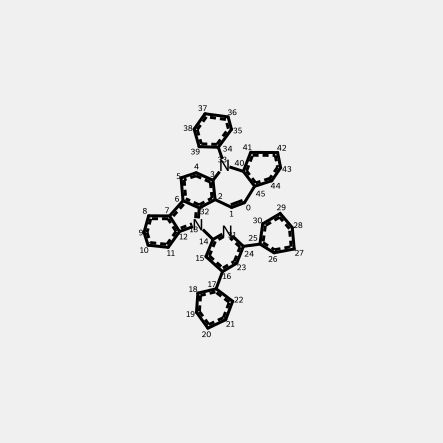 C1=Cc2c(ccc3c4ccccc4n(-c4cc(-c5ccccc5)cc(-c5ccccc5)n4)c23)N(c2ccccc2)c2ccccc21